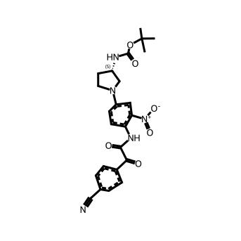 CC(C)(C)OC(=O)N[C@H]1CCN(c2ccc(NC(=O)C(=O)c3ccc(C#N)cc3)c([N+](=O)[O-])c2)C1